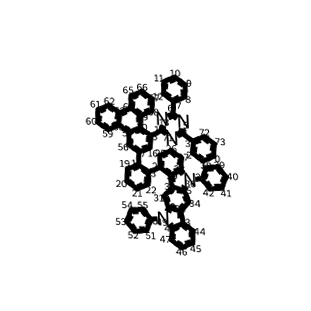 c1ccc(-c2nc(-c3ccccc3)nc(-c3cc(-c4ccccc4-c4cccc5c4c4cc6c(cc4n5-c4ccccc4)c4ccccc4n6-c4ccccc4)cc4c5ccccc5c5ccccc5c34)n2)cc1